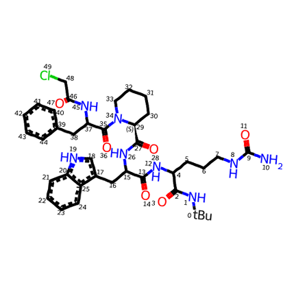 CC(C)(C)NC(=O)C(CCCNC(N)=O)NC(=O)C(Cc1c[nH]c2ccccc12)NC(=O)[C@@H]1CCCCN1C(=O)C(Cc1ccccc1)NC(=O)CCl